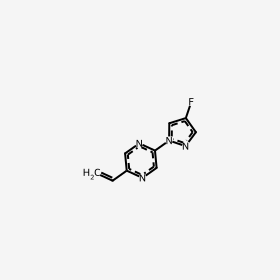 C=Cc1cnc(-n2cc(F)cn2)cn1